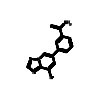 NC(=O)c1cccc(-c2cc(Br)c3ncnn3c2)c1